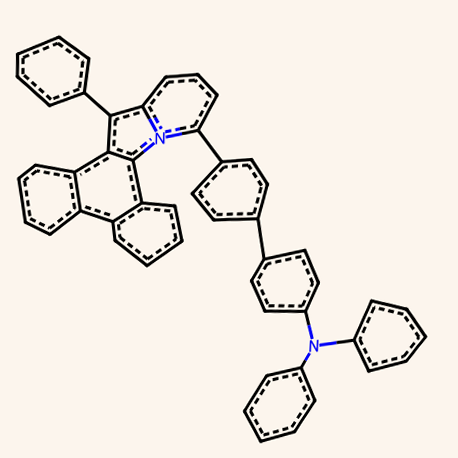 c1ccc(-c2c3c4ccccc4c4ccccc4c3n3c(-c4ccc(-c5ccc(N(c6ccccc6)c6ccccc6)cc5)cc4)cccc23)cc1